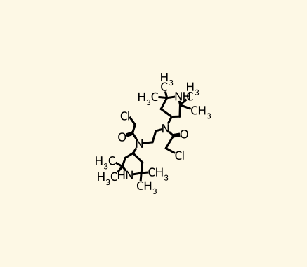 CC1(C)CC(N(CCN(C(=O)CCl)C2CC(C)(C)NC(C)(C)C2)C(=O)CCl)CC(C)(C)N1